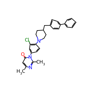 Cc1cc(=O)n(-c2ccc(N3CCC(Cc4ccc(-c5ccccc5)cc4)CC3)c(Cl)c2)c(C)n1